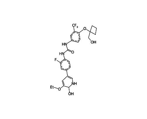 CCOC1=CC(c2ccc(NC(=O)Nc3ccc(OC4(CO)CCC4)c(C(F)(F)F)c3)c(F)c2)=CNC1O